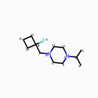 CC(C)N1CCN(CC2(F)CCC2)CC1